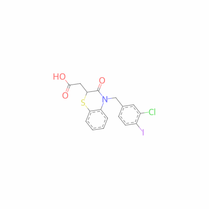 O=C(O)CC1Sc2ccccc2N(Cc2ccc(I)c(Cl)c2)C1=O